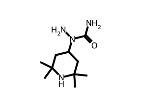 CC1(C)CC(N(N)C(N)=O)CC(C)(C)N1